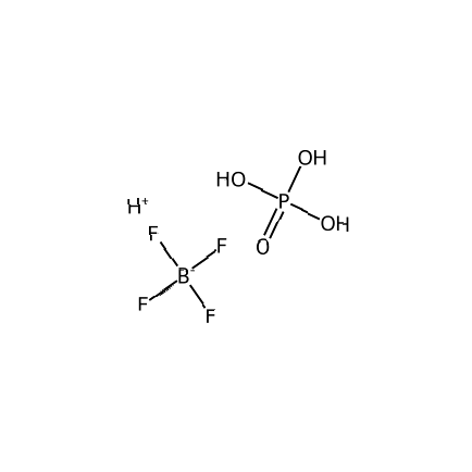 F[B-](F)(F)F.O=P(O)(O)O.[H+]